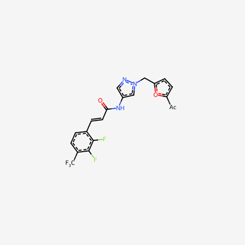 CC(=O)c1ccc(Cn2cc(NC(=O)/C=C/c3ccc(C(F)(F)F)c(F)c3F)cn2)o1